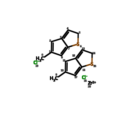 CC1=CC2=CCSC2=C1.CC1=CC2=CCSC2=C1.[Cl-].[Cl-].[Zr+2]